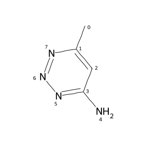 Cc1cc(N)nnn1